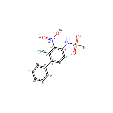 CS(=O)(=O)Nc1ccc(-c2ccccc2)c(Cl)c1[N+](=O)[O-]